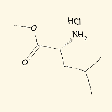 COC(=O)[C@H](N)CC(C)C.Cl